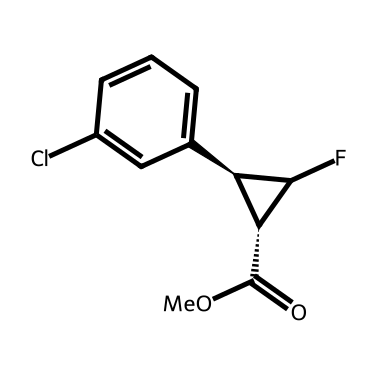 COC(=O)[C@H]1C(F)[C@@H]1c1cccc(Cl)c1